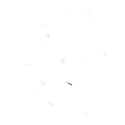 C=C(Cl)/C=C\C=C(/F)[C@@H]1[C@@H](NCc2ccc(S(C)(=O)=O)cc2[N+](=O)[O-])[C@@H](CO)N(CC2CC2)[C@]12C(=O)Nc1cc(Cl)ccc12